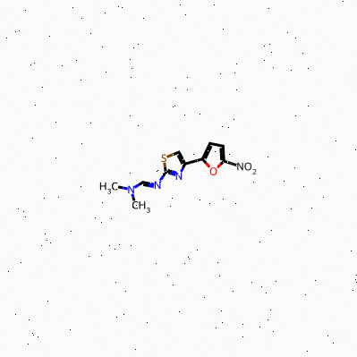 CN(C)C=Nc1nc(-c2ccc([N+](=O)[O-])o2)cs1